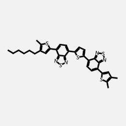 CCCCCCc1cc(-c2ccc(-c3ccc(-c4ccc(-c5cc(C)c(C)s5)c5nsnc45)s3)c3nsnc23)sc1C